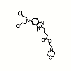 Cn1c(CCCC(=O)OCCN2CCOCC2)nc2ccc(N(CCCl)CCCl)cc21